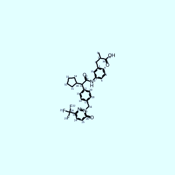 CC(Cc1cccc(NC(=O)C(c2ccc(Cn3nc(C(F)(F)F)ccc3=O)cc2)C2CCCC2)c1)C(=O)O